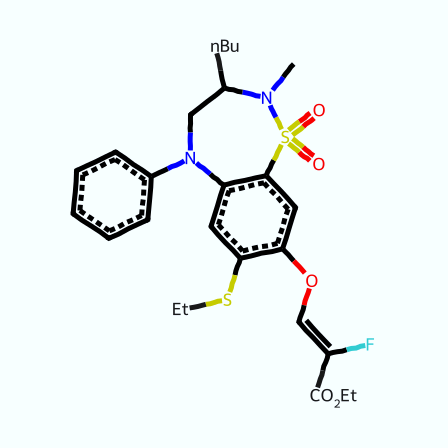 CCCCC1CN(c2ccccc2)c2cc(SCC)c(O/C=C(\F)C(=O)OCC)cc2S(=O)(=O)N1C